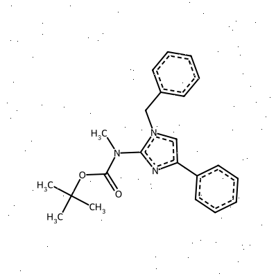 CN(C(=O)OC(C)(C)C)c1nc(-c2ccccc2)cn1Cc1ccccc1